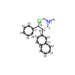 CN(C)C[C@H](c1ccc2ccccc2c1)C(Cl)c1ccccc1